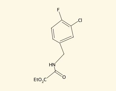 CCOC(=O)C(=O)NCc1ccc(F)c(Cl)c1